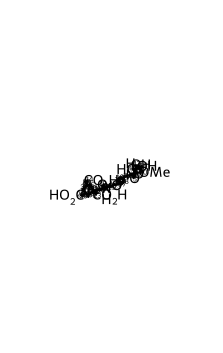 COC1OC(C(=O)NCCc2ccc(OCCCNC(=O)CCC(C(=O)O)N3CCN(CC(=O)O)CCN(CC(=O)O)CC3)cc2)C(O)C(O)C1O